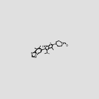 Cc1c(-c2[nH]c3sc(C4CCN(C=O)CC4)c(C)c3c2C(C)C)cn2ncnc2c1C